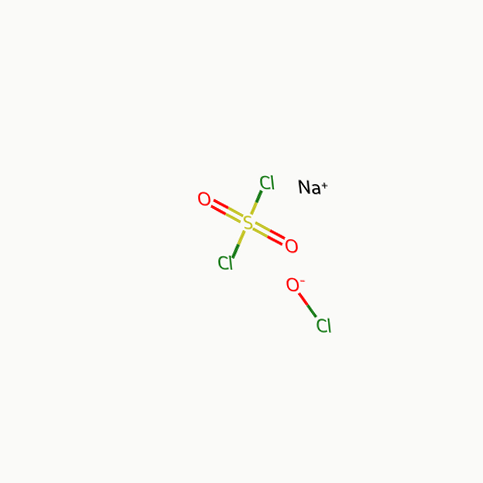 O=S(=O)(Cl)Cl.[Na+].[O-]Cl